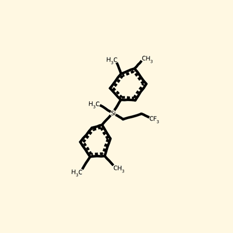 Cc1ccc([Si](C)(CCC(F)(F)F)c2ccc(C)c(C)c2)cc1C